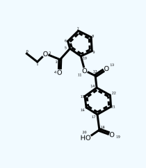 CCOC(=O)c1ccccc1OC(=O)c1ccc(C(=O)O)cc1